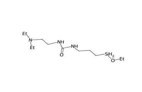 CCO[SiH2]CCCNC(=O)NCCN(CC)CC